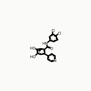 O=C(Nc1ccc(Cl)c(Cl)c1)c1c(-c2ccncc2)c2oc1c(O)c2O